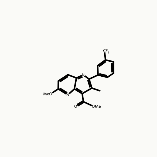 COC(=O)c1c(C)c(-c2cccc(C(F)(F)F)c2)nc2ccc(OC)nc12